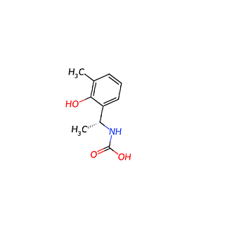 Cc1cccc([C@@H](C)NC(=O)O)c1O